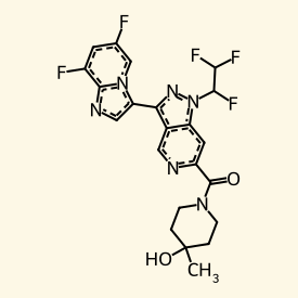 CC1(O)CCN(C(=O)c2cc3c(cn2)c(-c2cnc4c(F)cc(F)cn24)nn3C(F)C(F)F)CC1